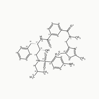 Cc1nc(CN(C)C(=O)c2cccc(C(=O)N[C@@H](Cc3ccccc3)[C@H](O)CN(CC(C)C)S(=O)(=O)c3ccc(N)cc3)c2)c(C)o1